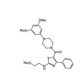 COCCNc1nc(-c2ccccc2)c(C(=O)N2CCN(c3cc(OC)cc(OC)c3)CC2)s1